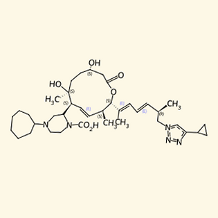 C/C(=C\C=C\[C@@H](C)Cn1cc(C2CC2)nn1)[C@H]1OC(=O)C[C@@H](O)CC[C@](C)(O)[C@H](C2CN(C3CCCCCC3)CCN2C(=O)O)/C=C/[C@@H]1C